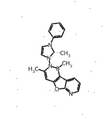 CB1c2c(oc3ncccc23)C=C(C)N1N1C=CN(c2ccccc2)[C@@H]1C